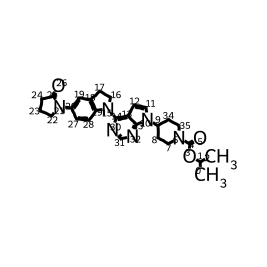 CC(C)OC(=O)N1CCC(n2ccc3c(N4CCc5cc(N6CCCC6=O)ccc54)ncnc32)CC1